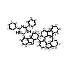 c1ccc(C2=NC(c3ccccc3)NC(c3cccc4oc5c(-c6ccc7sc8cccc(-n9c%10ccccc%10c%10ccccc%109)c8c7c6)cccc5c34)N2)cc1